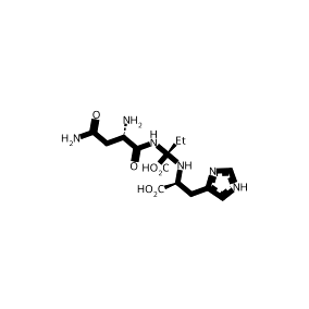 CC[C@@](NC(=O)[C@@H](N)CC(N)=O)(N[C@@H](Cc1c[nH]cn1)C(=O)O)C(=O)O